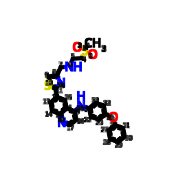 CS(=O)(=O)CCNCc1csc(-c2ccc3nccc(Nc4ccc(Oc5ccccc5)cc4)c3c2)n1